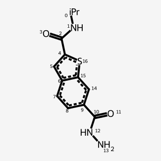 CC(C)NC(=O)c1cc2ccc(C(=O)NN)cc2s1